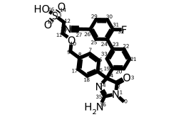 CN1C(=O)C(c2ccc(COCCS(=O)(=O)O)cc2)(c2cccc(-c3cc(C#N)ccc3F)c2)N=C1N